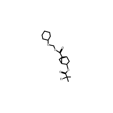 CCC(C)(C)C(=O)OC1CC2CC1CC2C(=O)OCOC1CCCCC1